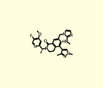 CNc1nccn1Cc1cc2c(c(-c3cn(C)nc3C)c1)CCN([C@@H](C)c1cc(OC)c(F)cn1)C2=O